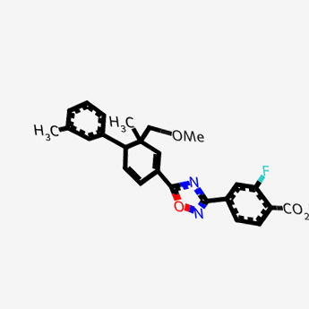 COCC1(C)C=C(c2nc(-c3ccc(C(=O)O)c(F)c3)no2)C=CC1c1cccc(C)c1